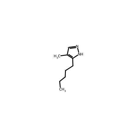 CCCCCc1[nH]n[c]c1C